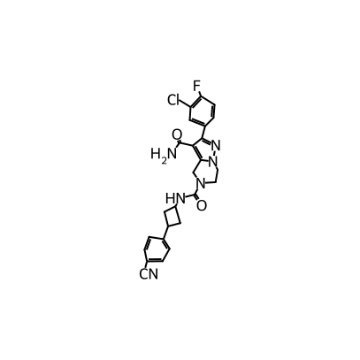 N#Cc1ccc(C2CC(NC(=O)N3CCn4nc(-c5ccc(F)c(Cl)c5)c(C(N)=O)c4C3)C2)cc1